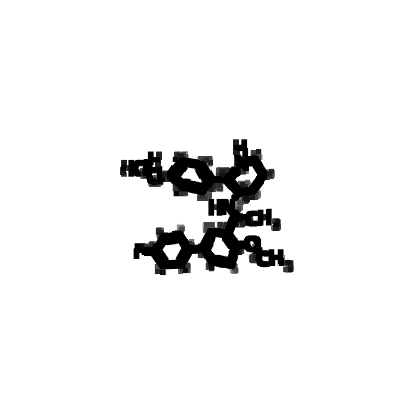 COc1ccc(-c2ccc(F)cc2)cc1[C@@H](C)N[C@H]1CCCN[C@@H]1c1ccccc1.Cl.Cl